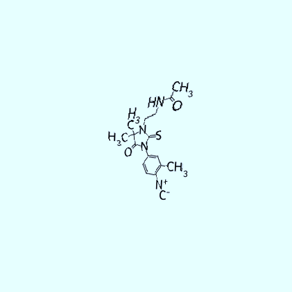 [C-]#[N+]c1ccc(N2C(=O)C(C)(C)N(CCNC(C)=O)C2=S)cc1C